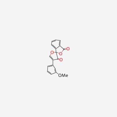 COc1cccc(C2=COC3(OC(=O)c4ccccc43)C2=O)c1